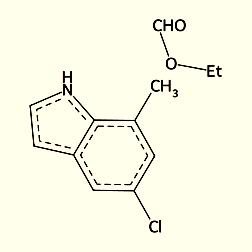 CCOC=O.Cc1cc(Cl)cc2cc[nH]c12